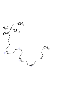 CC/C=C\C/C=C\C/C=C\C/C=C\C/C=C\CCCC(=O)C(C)(C)CC